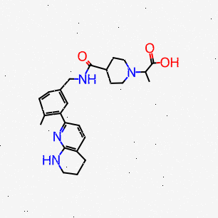 Cc1ccc(CNC(=O)C2CCN(C(C)C(=O)O)CC2)cc1-c1ccc2c(n1)NCCC2